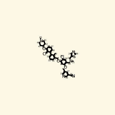 Cc1c(COc2cc(OCc3cncc(C#N)c3)c(CN(C)Cc3cncs3)cc2Cl)cccc1-c1cccc(OC2CCN(C)CC2)c1Cl